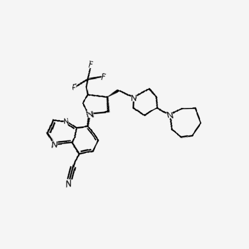 N#Cc1ccc(N2CC(C(F)(F)F)[C@@H](CN3CCC(N4CCCCCC4)CC3)C2)c2nccnc12